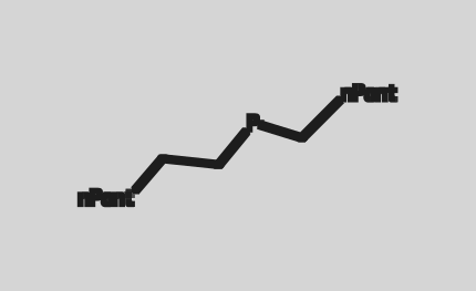 CCCCCCC[P]CCCCCC